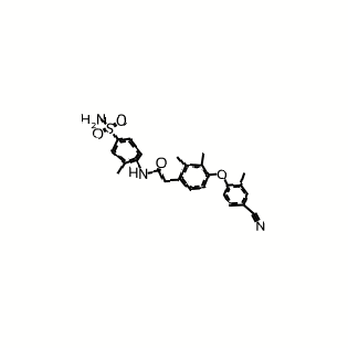 Cc1cc(S(N)(=O)=O)ccc1NC(=O)Cc1ccc(Oc2ccc(C#N)cc2C)c(C)c1C